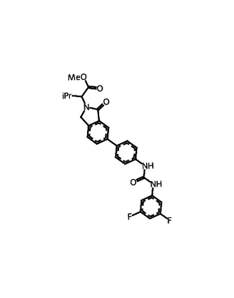 COC(=O)C(C(C)C)N1Cc2ccc(-c3ccc(NC(=O)Nc4cc(F)cc(F)c4)cc3)cc2C1=O